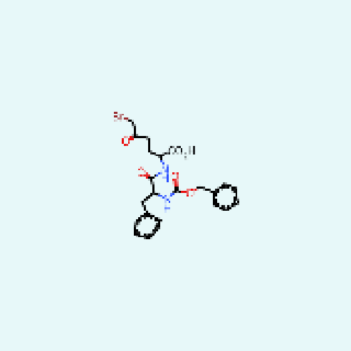 O=C(CBr)CCC(NC(=O)C(Cc1ccccc1)NC(=O)OCc1ccccc1)C(=O)O